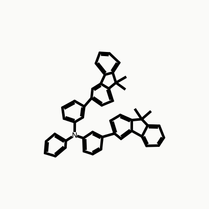 CC1(C)c2ccccc2-c2cc(-c3cccc(N(c4ccccc4)c4cccc(-c5ccc6c(c5)-c5ccccc5C6(C)C)c4)c3)ccc21